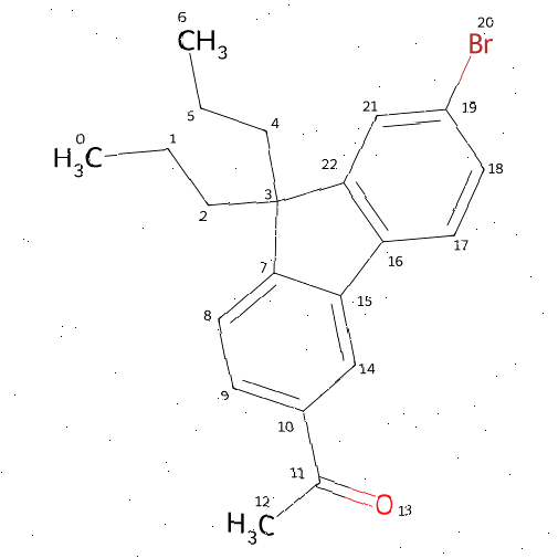 CCCC1(CCC)c2ccc(C(C)=O)cc2-c2ccc(Br)cc21